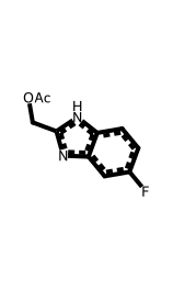 CC(=O)OCc1nc2cc(F)ccc2[nH]1